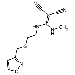 CNC(NCCSCc1ccon1)=C(C#N)C#N